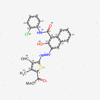 COC(=O)c1sc(/N=N/c2cc3ccccc3c(C(=O)Nc3ccccc3Cl)c2O)c(C=O)c1C